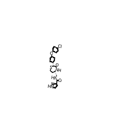 O=C(NC[C@@H]1CCS[C@H](c2ccc(Oc3ccc(Cl)cc3)cc2)C(=O)N1)c1cc[nH]n1